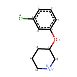 Clc1cccc(OC2CCCNC2)c1